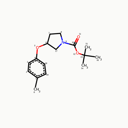 Cc1ccc(OC2CCN(C(=O)OC(C)(C)C)C2)cc1